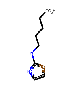 O=C(O)CCCCNc1nccs1